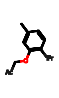 CC(=O)COc1cc(C)ccc1C(C)C